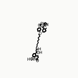 Cc1ccccc1[C@@H](C1CN2CCC1CC2)N(C(=O)O)c1cccc(OCCCCCCCCCNC[C@H](O)c2ccc(O)c3[nH]c(=O)ccc23)c1